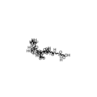 CC(C)(COP(=O)(O)OP(=O)(O)OC[C@H]1O[C@@H](n2cnc3c(N)ncnc32)[C@H](O)[C@@H]1OP(=O)(O)O)[C@@H](O)C(=O)NCCC(=O)NCCSC(=O)C(O)CC(=O)O.O=CC(=O)O